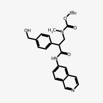 CN(CC(C(=O)Nc1ccc2cnccc2c1)c1ccc(CO)cc1)C(=O)OC(C)(C)C